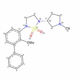 COc1c(-c2ccccc2)cccc1N1CCN([C@@H]2CCN(C#N)C2)S1(=O)=O